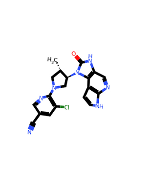 C[C@H]1CN(c2ncc(C#N)cc2Cl)C[C@@H]1n1c(=O)[nH]c2cnc3[nH]ccc3c21